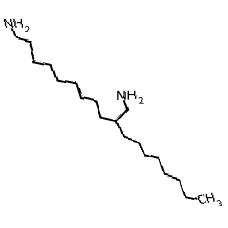 CCCCCCCCC(CN)CCCCCCCCCN